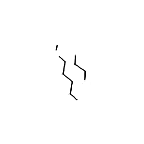 CCCCCCCCCCCCOS(=O)(=O)O.OCCO